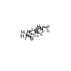 C[C@@H]1[C@H]2Cc3cc(N)c(C(N)=O)cc3[C@]1(C)CCN2CC1CC1